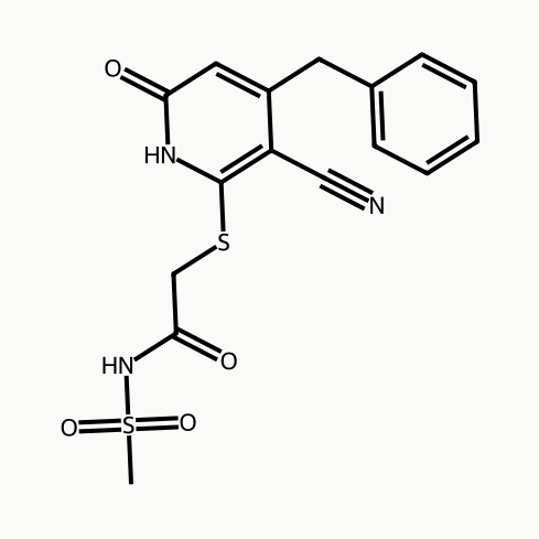 CS(=O)(=O)NC(=O)CSc1[nH]c(=O)cc(Cc2ccccc2)c1C#N